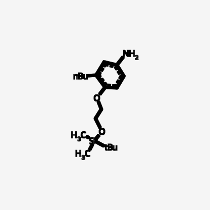 CCCCc1cc(N)ccc1OCCO[Si](C)(C)C(C)(C)C